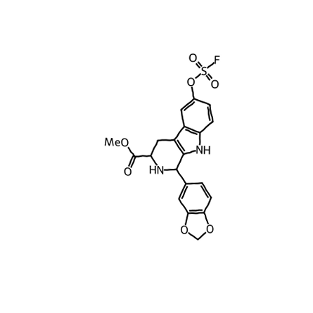 COC(=O)C1Cc2c([nH]c3ccc(OS(=O)(=O)F)cc23)C(c2ccc3c(c2)OCO3)N1